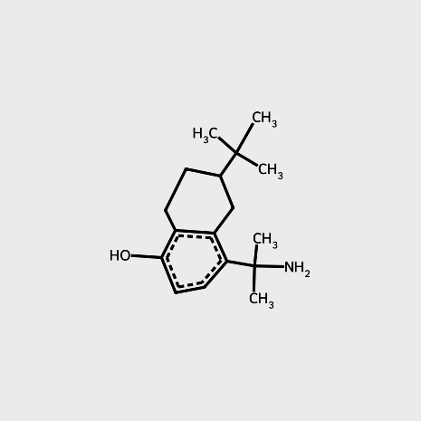 CC(C)(N)c1ccc(O)c2c1CC(C(C)(C)C)CC2